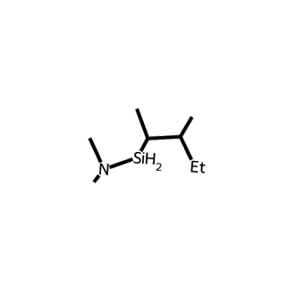 CCC(C)C(C)[SiH2]N(C)C